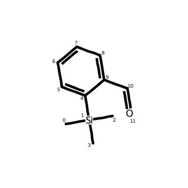 C[Si](C)(C)c1ccccc1C=O